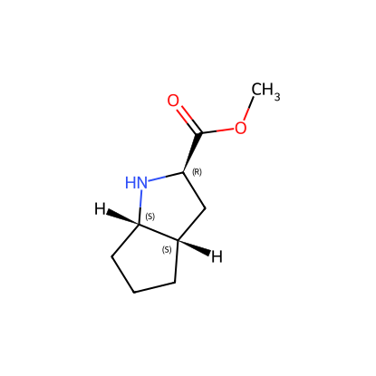 COC(=O)[C@H]1C[C@@H]2CCC[C@@H]2N1